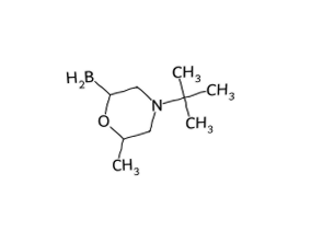 BC1CN(C(C)(C)C)CC(C)O1